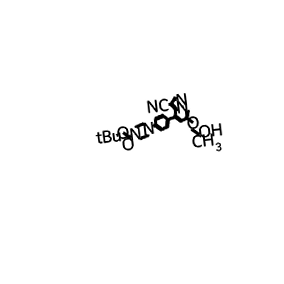 C[C@@H](O)COc1cc(-c2ccc(N3CCN(C(=O)OC(C)(C)C)CC3)cc2)c2c(C#N)cnn2c1